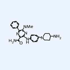 CNc1nc(Nc2ccc(N3CCC(N)CC3)cc2)c(C(N)=O)nc1-c1ccccc1